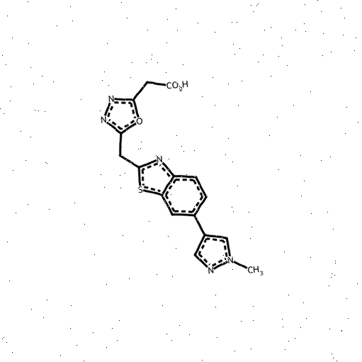 Cn1cc(-c2ccc3nc(Cc4nnc(CC(=O)O)o4)sc3c2)cn1